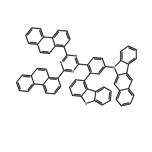 c1ccc2cc3c(cc2c1)c1ccccc1n3-c1ccc(-c2nc(-c3cccc4c3ccc3ccccc34)nc(-c3cccc4c3ccc3ccccc34)n2)c(-c2cccc3sc4ccccc4c23)c1